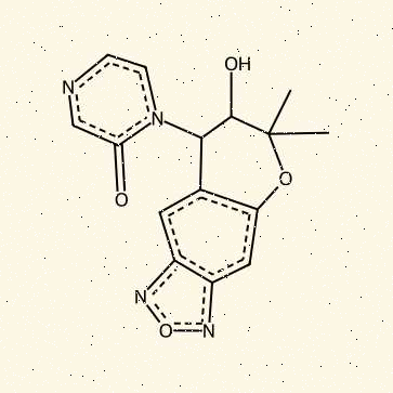 CC1(C)Oc2cc3nonc3cc2C(n2ccncc2=O)C1O